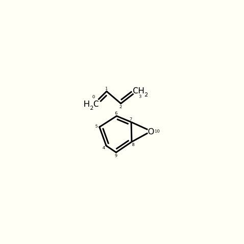 C=CC=C.c1ccc2c(c1)O2